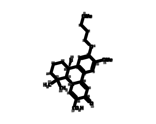 COCCCOc1cc2c(cc1OC)-c1cc(=O)c(C(=O)O)cn1C1[C@H]2CCCC1(C)C